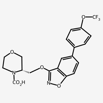 O=C(O)N1CCOC[C@@H]1COc1noc2ccc(-c3ccc(OC(F)(F)F)cc3)cc12